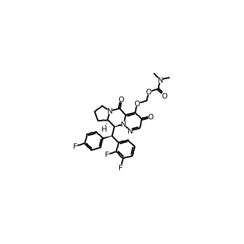 CN(C)C(=O)OCOc1c2n(ncc1=O)[C@@H]([C@H](c1ccc(F)cc1)c1cccc(F)c1F)[C@H]1CCCN1C2=O